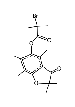 Cc1c(C)c2c(c(C)c1OC(=O)C(C)(C)Br)C(=O)C(C)(C)O2